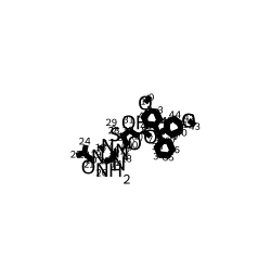 COc1ccc(C(OC[C@H]2O[C@@H](n3cnc4c3N=CN(C(=O)C(C)C)C4N)C(SC)C2O)(c2ccccc2)c2ccc(OC)cc2)cc1